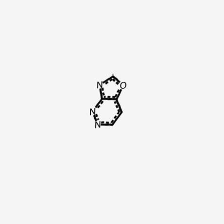 [c]1nc2nnccc2o1